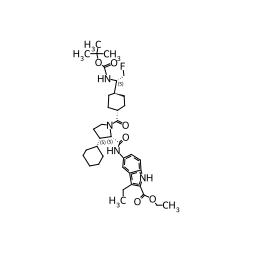 CCOC(=O)c1[nH]c2ccc(NC(=O)[C@@H]3[C@H](C4CCCCC4)CCN3C(=O)[C@H]3CC[C@H]([C@@H](CF)NC(=O)OC(C)(C)C)CC3)cc2c1CC